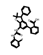 CC1(C)Oc2c(NC(=O)Nc3ccccc3F)cc(-c3ccccc3C(=O)O)cc2C1c1ccccc1